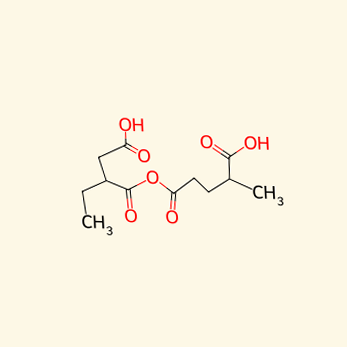 CCC(CC(=O)O)C(=O)OC(=O)CCC(C)C(=O)O